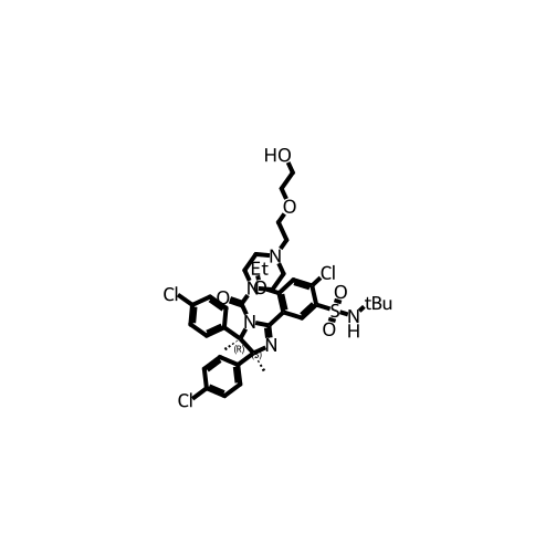 CCOc1cc(Cl)c(S(=O)(=O)NC(C)(C)C)cc1C1=N[C@@](C)(c2ccc(Cl)cc2)[C@@](C)(c2ccc(Cl)cc2)N1C(=O)N1CCN(CCOCCO)CC1